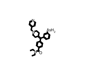 CCN(CC)C(=O)c1ccc(C(=C2CCN(Cc3ccncc3)CC2)c2cccc([AsH2])c2)cc1